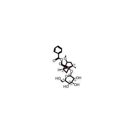 COC1C[C@@]2(C)CC(=O)[C@@H]3C[C@]2(O[C@@H]2O[C@H](CO)[C@@H](O)[C@H](O)[C@H]2O)[C@@]13COC(=O)c1ccccc1